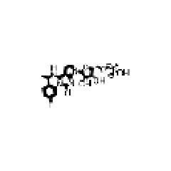 CC(Nc1nc(Cl)nc2c1ccn2[C@@H]1O[C@H](COOP(C)(=O)O)[C@@H](O)[C@H]1O)c1ccc(F)cc1